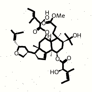 C/C=C(/C)[C@@H](O)C(=O)O[C@@H]1C[C@H](C(C)(C)O)[C@](C)(CCC(=O)OC)[C@H]2[C@H](OC(=O)[C@H](O)/C(C)=C/C)C[C@]3(C)C(=CC[C@H]3[C@H]3CO[C@H](C=C(C)C)C3)[C@@]21C